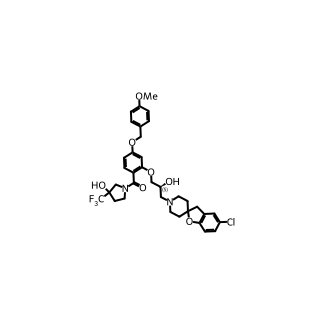 COc1ccc(COc2ccc(C(=O)N3CCC(O)(C(F)(F)F)C3)c(OC[C@@H](O)CN3CCC4(CC3)Cc3cc(Cl)ccc3O4)c2)cc1